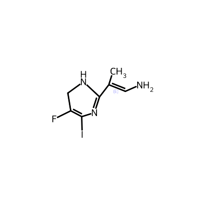 C/C(=C\N)C1=NC(I)=C(F)CN1